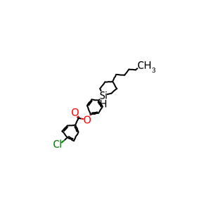 CCCCCC1CC[SiH](c2ccc(OC(=O)c3ccc(Cl)cc3)cc2)CC1